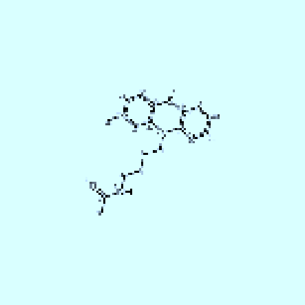 CC(=O)NCCCCN1c2ccccc2Sc2ccc(C)cc21